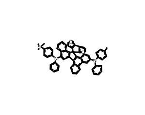 Cc1ccc(N(c2ccccc2)c2ccc3c4c(c5ccccc5c3c2)-c2cc(N(c3ccccc3)c3ccc([Si](C)(C)C)cc3)c3ccccc3c2C42c3ccccc3-c3ccccc32)cc1